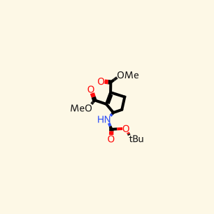 COC(=O)C1=C(C(=O)OC)C(NC(=O)OC(C)(C)C)CC1